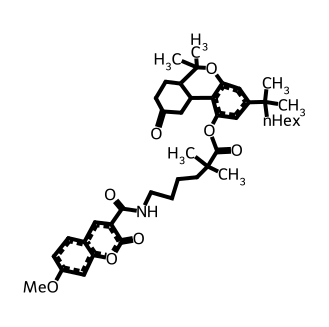 CCCCCCC(C)(C)c1cc(OC(=O)C(C)(C)CCCCNC(=O)c2cc3ccc(OC)cc3oc2=O)c2c(c1)OC(C)(C)C1CCC(=O)CC21